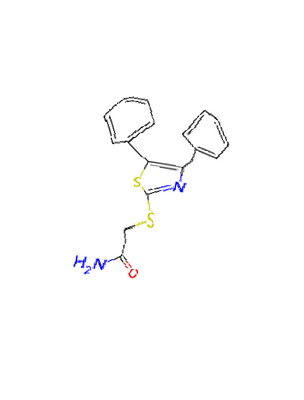 NC(=O)CSc1nc(-c2ccccc2)c(-c2ccccc2)s1